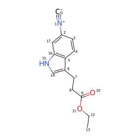 [C-]#[N+]c1ccc2c(CCC(=O)OCC)c[nH]c2c1